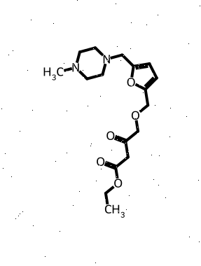 CCOC(=O)CC(=O)COCc1ccc(CN2CCN(C)CC2)o1